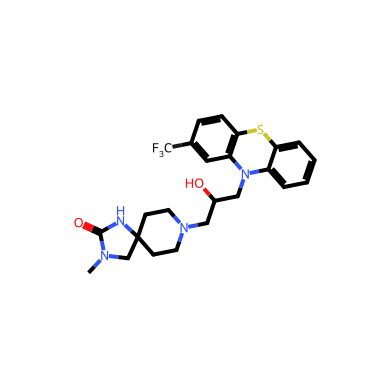 CN1CC2(CCN(CC(O)CN3c4ccccc4Sc4ccc(C(F)(F)F)cc43)CC2)NC1=O